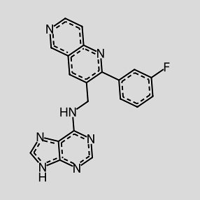 Fc1cccc(-c2nc3ccncc3cc2CNc2ncnc3[nH]cnc23)c1